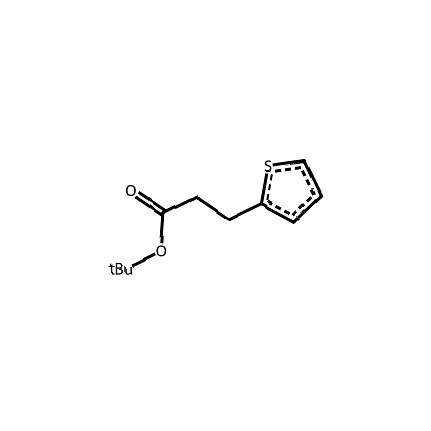 CC(C)(C)OC(=O)CCc1cccs1